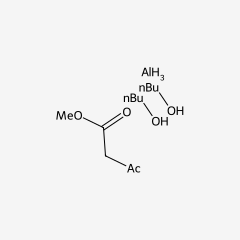 CCCCO.CCCCO.COC(=O)CC(C)=O.[AlH3]